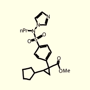 CCCN(n1ccnc1)S(=O)(=O)c1ccc(C2(C(=O)OC)CC2C2CCCC2)cc1